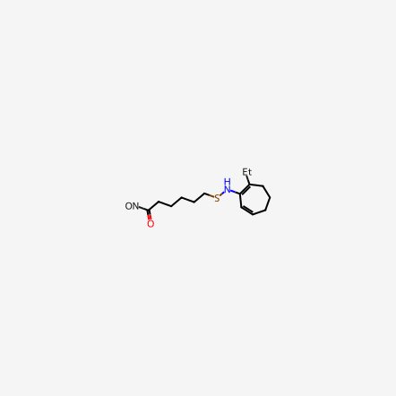 CCC1=C(NSCCCCCC(=O)N=O)C=CCCC1